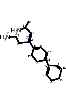 CC(N)/C=C(\CCN)C1=CC=C(C2=CCCC=C2)CC1